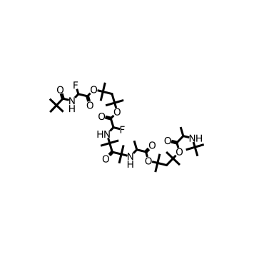 CC(NC(C)(C)C)C(=O)OC(C)(C)CC(C)(C)OC(=O)C(C)NC(C)(C)C(=O)C(C)(C)NC(F)C(=O)OC(C)(C)CC(C)(C)OC(=O)C(F)NC(=O)C(C)(C)C